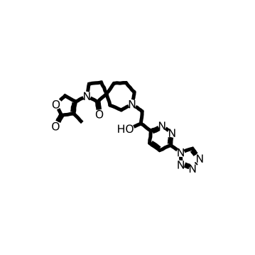 CC1=C(N2CCC3(CCCN(CC(O)c4ccc(-n5cnnn5)nn4)CC3)C2=O)COC1=O